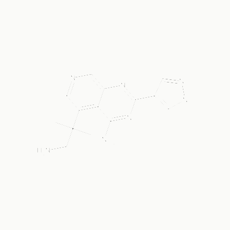 CC(C)(CN)c1cncc2nc(-c3cn[nH]c3)nc(N)c12